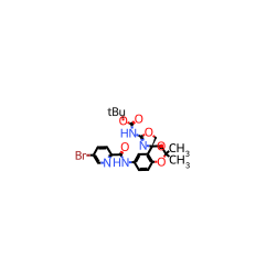 CC(C)(C)OC(=O)NC1=N[C@@]2(CO1)c1cc(NC(=O)c3ccc(Br)cn3)ccc1OC(C)(C)C21COC1